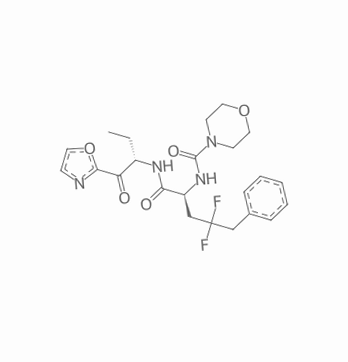 CC[C@H](NC(=O)[C@H](CC(F)(F)Cc1ccccc1)NC(=O)N1CCOCC1)C(=O)c1ncco1